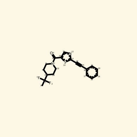 CC(F)(F)C1CCN(C(=O)c2cnc(C#Cc3ccccc3)s2)CC1